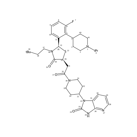 CC(C)N1CCC(c2c(F)cccc2[C@H]2S[C@@H](CC(=O)N3CCC(n4c(=O)[nH]c5ncccc54)CC3)C(=O)N2CCC(C)(C)C)CC1